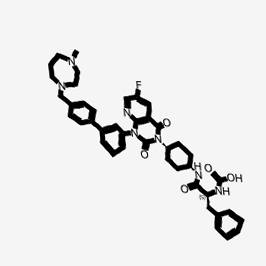 CN1CCCN(Cc2ccc(-c3cccc(-n4c(=O)n([C@H]5CC[C@@H](NC(=O)[C@H](Cc6ccccc6)NC(=O)O)CC5)c(=O)c5cc(F)cnc54)c3)cc2)CC1